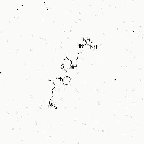 CC(CCCCN)CN1CCCC1C(=O)N[C@@H](CCCNC(=N)N)C(C)C